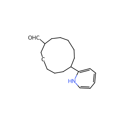 O=CC1CCCCCC(C2=CC=CC=CN2)CCCCC1